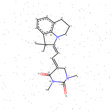 CN1C/C(=C\C=C2\N3CCCc4cccc(c43)C2(C)C)C(=O)N(C)C1=O